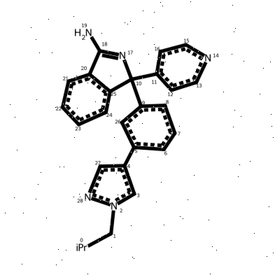 CC(C)Cn1cc(-c2cccc(C3(c4ccncc4)N=C(N)c4ccccc43)c2)cn1